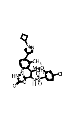 COc1cc(Cl)ccc1S(=O)(=O)NC(c1n[nH]c(=O)o1)C(C)c1c(F)ccc(-c2cnn(C3CCC3)c2)c1C